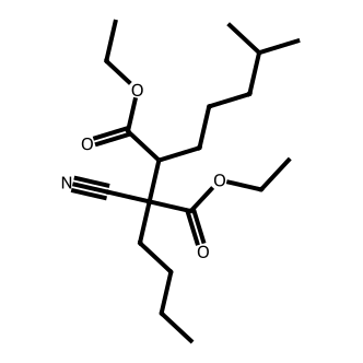 CCCCC(C#N)(C(=O)OCC)C(CCCC(C)C)C(=O)OCC